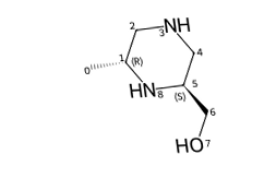 C[C@@H]1CNC[C@@H](CO)N1